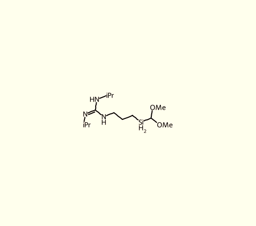 COC(OC)[SiH2]CCCN/C(=N\C(C)C)NC(C)C